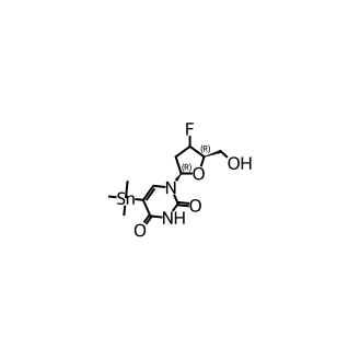 [CH3][Sn]([CH3])([CH3])[c]1cn([C@H]2CC(F)[C@@H](CO)O2)c(=O)[nH]c1=O